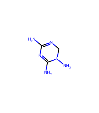 NC1=NCN(N)C(N)=N1